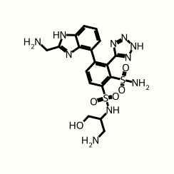 NCc1nc2c(-c3ccc(S(=O)(=O)NC(CN)CO)c(S(N)(=O)=O)c3-c3nn[nH]n3)cccc2[nH]1